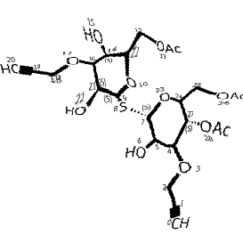 C#CCOC1C(O)[C@H](S[C@@H]2OC(COC(C)=O)[C@H](O)C(OCC#C)[C@@H]2O)OC(COC(C)=O)[C@@H]1OC(C)=O